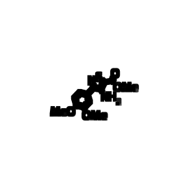 COC(=O)c1snc(-c2ccc(OC)c(OC)c2)c1N